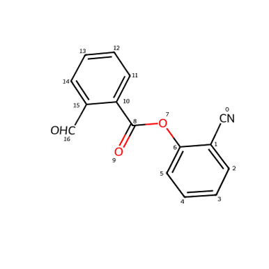 N#Cc1ccccc1OC(=O)c1ccccc1C=O